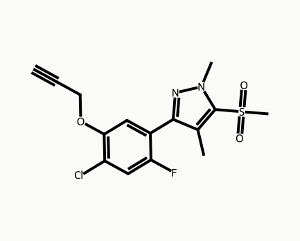 C#CCOc1cc(-c2nn(C)c(S(C)(=O)=O)c2C)c(F)cc1Cl